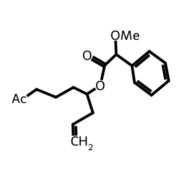 C=CCC(CCCC(C)=O)OC(=O)C(OC)c1ccccc1